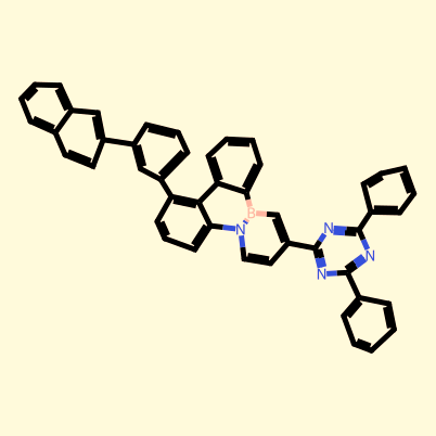 C1=CN2B(C=C1c1nc(-c3ccccc3)nc(-c3ccccc3)n1)c1ccccc1-c1c(-c3cccc(-c4ccc5ccccc5c4)c3)cccc12